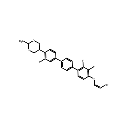 CCC/C=C\Oc1ccc(-c2ccc(-c3ccc(C4COC(C)OC4)c(F)c3)cc2)c(F)c1F